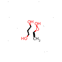 C=COO.OCCCO